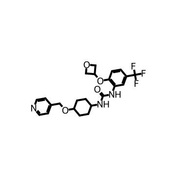 O=C(Nc1cc(C(F)(F)F)ccc1OC1COC1)NC1CCC(OCc2ccncc2)CC1